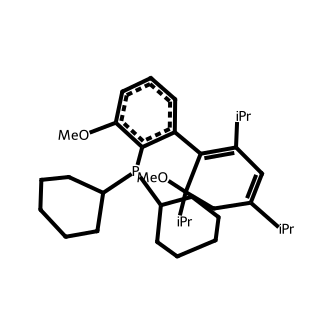 COc1cccc(C2=C(C(C)C)C=C(C(C)C)CC2(OC)C(C)C)c1P(C1CCCCC1)C1CCCCC1